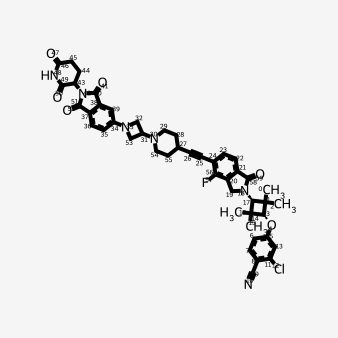 CC1(C)[C@H](Oc2ccc(C#N)c(Cl)c2)C(C)(C)[C@H]1N1Cc2c(ccc(C#CC3CCN(C4CN(c5ccc6c(c5)C(=O)N(C5CCC(=O)NC5=O)C6=O)C4)CC3)c2F)C1=O